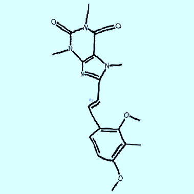 COc1ccc(/C=C/c2nc3c(c(=O)n(C)c(=O)n3C)n2C)c(OC)c1C